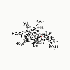 CSCC[C@H](N)C(=O)N[C@@H](Cc1c[nH]cn1)C(=O)N[C@@H](CCCCN)C(=O)N[C@@H](CCC(=O)O)C(=O)N[C@@H](CCC(=O)O)C(=O)N[C@@H](Cc1c[nH]cn1)C(=O)N[C@@H](CCC(=O)O)C(=O)N[C@H](C(=O)N[C@@H](C)C(=O)N[C@H](C(=O)N[C@@H](CC(C)C)C(=O)NCC(=O)O)C(C)C)C(C)C